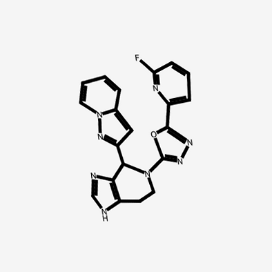 Fc1cccc(-c2nnc(N3CCc4[nH]cnc4C3c3cc4ccccn4n3)o2)n1